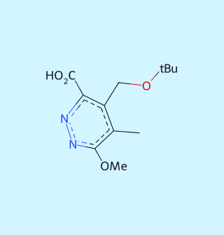 COc1nnc(C(=O)O)c(COC(C)(C)C)c1C